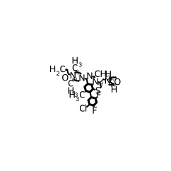 C=CC(=O)N1[C@H](C)CN(C2=NC(=C)N3c4c2cc(C)c(-c2cc(Cl)c(F)cc2F)c4SC[C@@H]3CN2C[C@@H]3C[C@H]2CO3)C[C@@H]1C